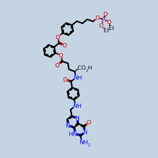 CCOP(=O)(OCC)OCCCCc1ccc(OC(=O)c2ccccc2OC(=O)CC[C@H](NC(=O)c2ccc(NCc3cnc4[nH]c(N)nc(=O)c4n3)cc2)C(=O)O)cc1